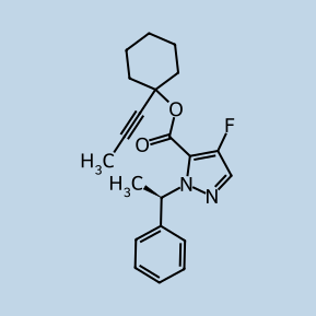 CC#CC1(OC(=O)c2c(F)cnn2[C@H](C)c2ccccc2)CCCCC1